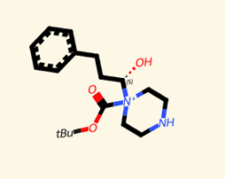 CC(C)(C)OC(=O)[N+]1([C@@H](O)CCc2ccccc2)CCNCC1